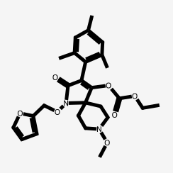 CCOC(=O)OC1=C(c2c(C)cc(C)cc2C)C(=O)N(OCc2ccco2)C12CCN(OC)CC2